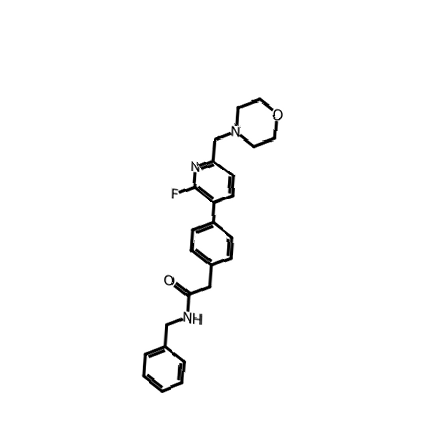 O=C(Cc1ccc(-c2ccc(CN3CCOCC3)nc2F)cc1)NCc1ccccc1